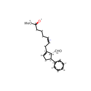 COC(=O)CCC/C=C\CC1=CCC(c2ccccc2)[C@H]1C=O